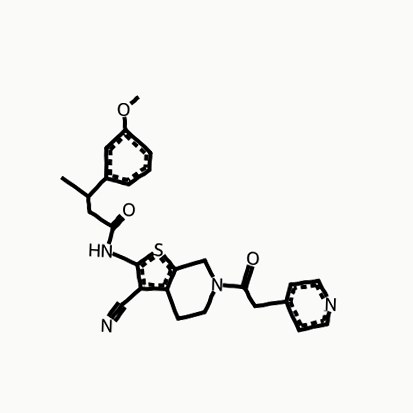 COc1cccc(C(C)CC(=O)Nc2sc3c(c2C#N)CCN(C(=O)Cc2ccncc2)C3)c1